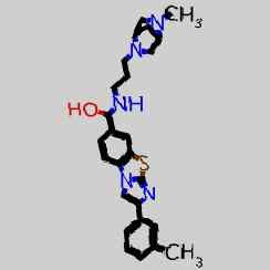 Cc1cccc(-c2cn3c(n2)sc2cc(C(O)NCCCN4CC5CC4CN5C)ccc23)c1